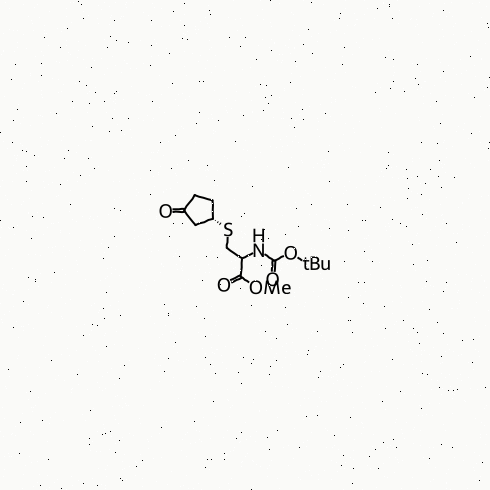 COC(=O)C(CS[C@H]1CCC(=O)C1)NC(=O)OC(C)(C)C